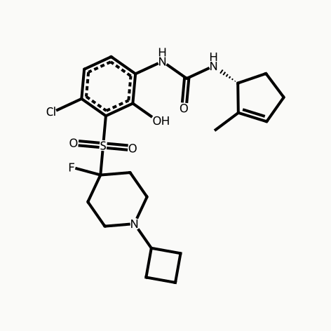 CC1=CCC[C@H]1NC(=O)Nc1ccc(Cl)c(S(=O)(=O)C2(F)CCN(C3CCC3)CC2)c1O